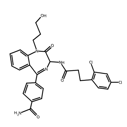 NC(=O)c1ccc(C2=NC(NC(=O)CCc3ccc(Cl)cc3Cl)C(=O)N(CCCO)c3ccccc32)cc1